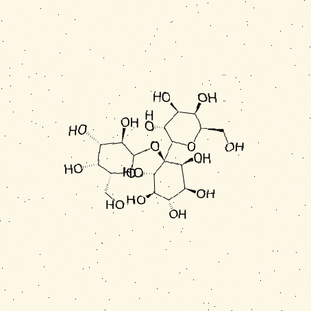 OC[C@H]1OC(O[C@]2(C3O[C@H](CO)[C@H](O)[C@H](O)[C@H]3O)[C@@H](O)[C@H](O)[C@@H](O)[C@H](O)[C@@H]2O)[C@H](O)[C@@H](O)[C@H]1O